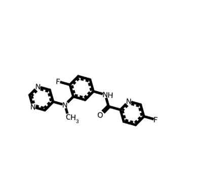 CN(c1cncnc1)c1cc(NC(=O)c2ccc(F)cn2)ccc1F